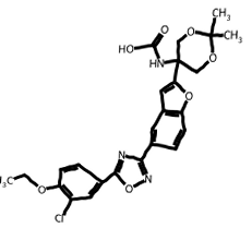 CCOc1ccc(-c2nc(-c3ccc4oc(C5(NC(=O)O)COC(C)(C)OC5)cc4c3)no2)cc1Cl